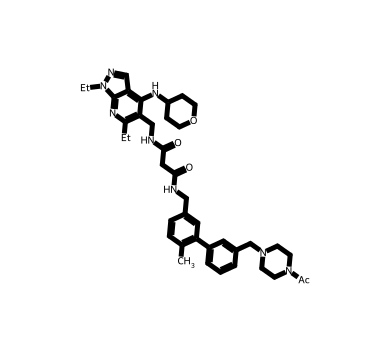 CCc1nc2c(cnn2CC)c(NC2CCOCC2)c1CNC(=O)CC(=O)NCc1ccc(C)c(-c2cccc(CN3CCN(C(C)=O)CC3)c2)c1